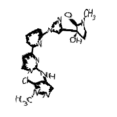 CN1CC[C@](O)(c2cn(-c3cccc(-c4ccnc(Nc5cnn(C)c5Cl)n4)n3)cn2)C1=O